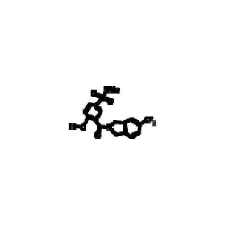 CCOc1ccc(S(=O)(=O)NC)cc1C(=O)N1Cc2ccc(C(F)(F)F)cc2C1